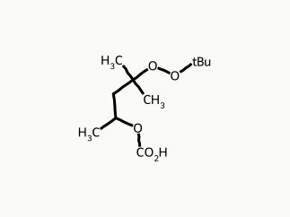 CC(CC(C)(C)OOC(C)(C)C)OC(=O)O